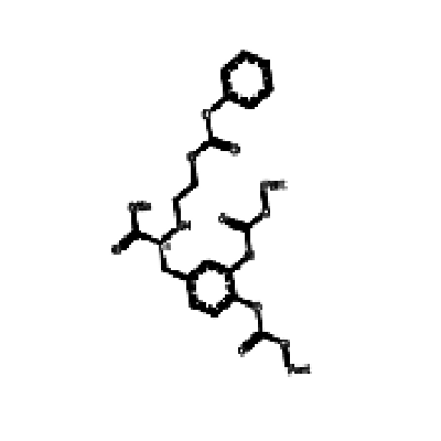 CCCC(C)OC(=O)Oc1ccc(C[C@H](NCCOC(=O)Oc2ccccc2)C(=O)OC)cc1OC(=O)OC(C)CCC